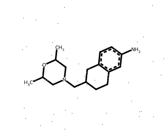 CC1CN(CC2CCc3cc(N)ccc3C2)CC(C)O1